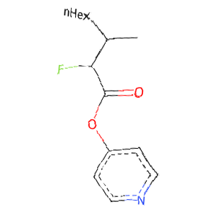 CCCCCCC(C)C(F)C(=O)Oc1ccncc1